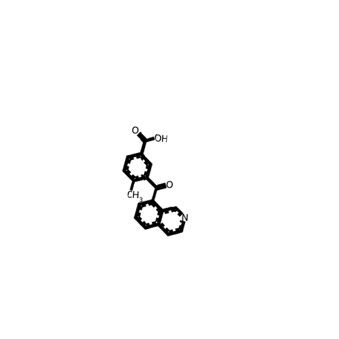 Cc1ccc(C(=O)O)cc1C(=O)c1cccc2ccncc12